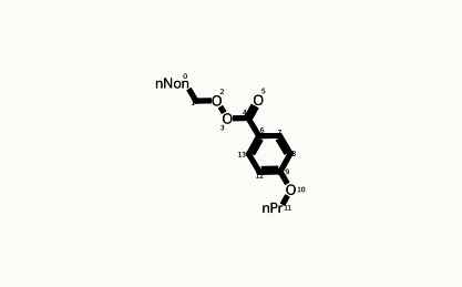 [CH2]CCCCCCCCCOOC(=O)c1ccc(OCCC)cc1